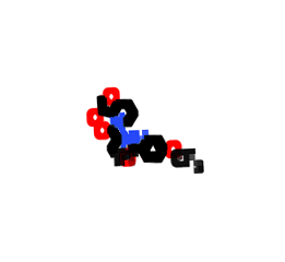 CC(C)CC(NC(=O)c1ccc(OC(F)(F)F)cc1)C(=O)N1CCCC2OCC(=O)C21